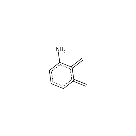 C=c1cccc(N)c1=C